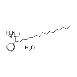 CCCCCCCCCCCCCCCCC(c1ccccc1)C(N)(CC)CC.O